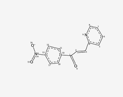 O=C(C=Cc1ccccn1)c1ccc([N+](=O)[O-])cc1